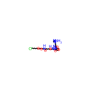 Nc1nccn1CCC[C@H](N)C(=O)NC1(C(=O)NCCCOCCCCC(=O)NCCOCCOCCCCCCCl)CCOCC1